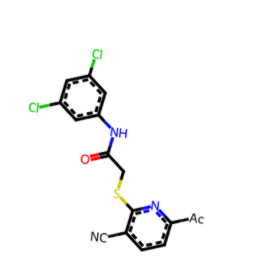 CC(=O)c1ccc(C#N)c(SCC(=O)Nc2cc(Cl)cc(Cl)c2)n1